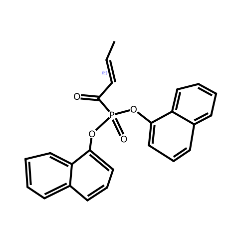 C/C=C/C(=O)P(=O)(Oc1cccc2ccccc12)Oc1cccc2ccccc12